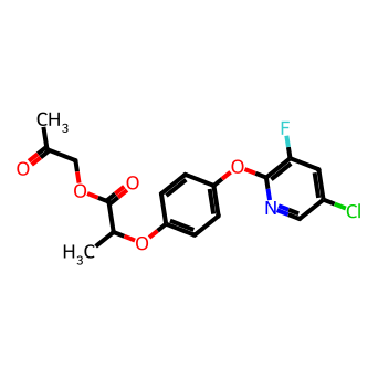 CC(=O)COC(=O)C(C)Oc1ccc(Oc2ncc(Cl)cc2F)cc1